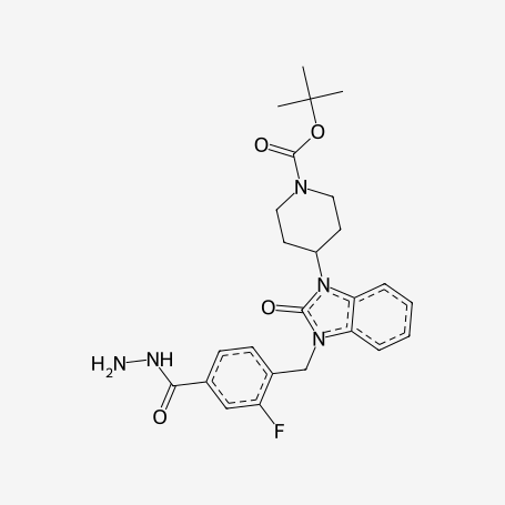 CC(C)(C)OC(=O)N1CCC(n2c(=O)n(Cc3ccc(C(=O)NN)cc3F)c3ccccc32)CC1